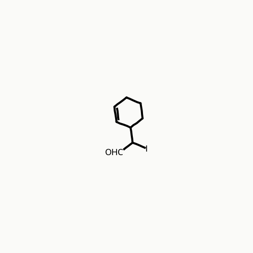 O=CC(I)C1C=CCCC1